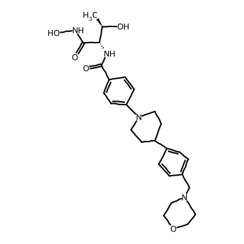 C[C@@H](O)[C@H](NC(=O)c1ccc(N2CCC(c3ccc(CN4CCOCC4)cc3)CC2)cc1)C(=O)NO